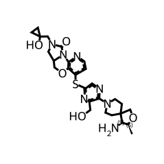 C[C@@H]1OCC2(CCN(c3ncc(Sc4ccnc5c4OCC4CN(CC6(O)CC6)C(=O)N54)nc3CO)CC2)[C@@H]1N